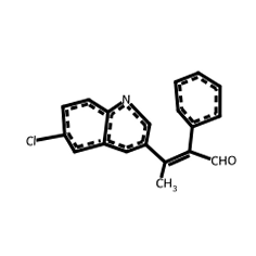 CC(=C(C=O)c1ccccc1)c1cnc2ccc(Cl)cc2c1